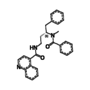 CN(C(=O)c1ccccc1)[C@H](CCNC(=O)c1ccnc2ccccc12)Cc1ccccc1